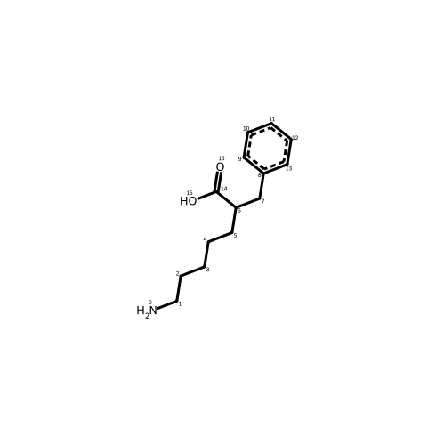 NCCCCCC(Cc1ccccc1)C(=O)O